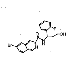 O=C(NC(CCO)c1ccccc1F)c1cc2cc(Br)ccc2cn1